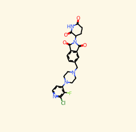 O=C1CCC(N2C(=O)c3ccc(CN4CCN(c5ccnc(Cl)c5F)CC4)cc3C2=O)C(=O)N1